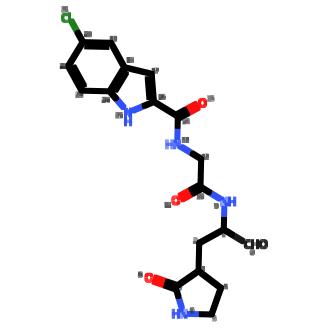 O=CC(CC1CCNC1=O)NC(=O)CNC(=O)c1cc2cc(Cl)ccc2[nH]1